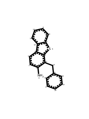 Nc1ccc2c(sc3ccccc32)c1Cc1ccccc1